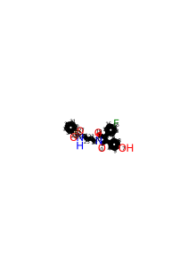 O=C1C(c2ccc(O)cc2)C(c2ccc(F)cc2)C(=O)N1CCCCNS(=O)(=O)c1ccccc1